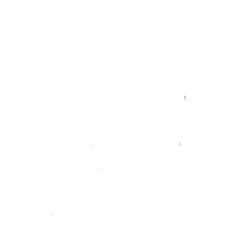 NC(CC(=O)NCc1cccc(OC(F)(F)F)c1)C1CCN(c2nccc(/C=C3\SC(=O)NC3=O)n2)CC1